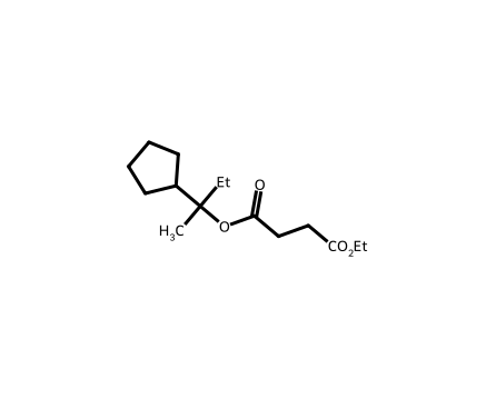 CCOC(=O)CCC(=O)OC(C)(CC)C1CCCC1